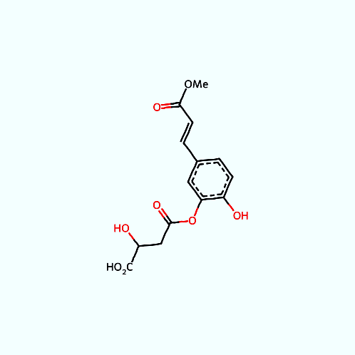 COC(=O)/C=C/c1ccc(O)c(OC(=O)CC(O)C(=O)O)c1